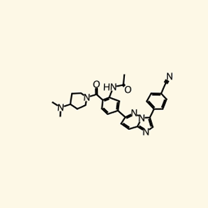 CC(=O)Nc1cc(-c2ccc3ncc(-c4ccc(C#N)cc4)n3n2)ccc1C(=O)N1CCC(N(C)C)CC1